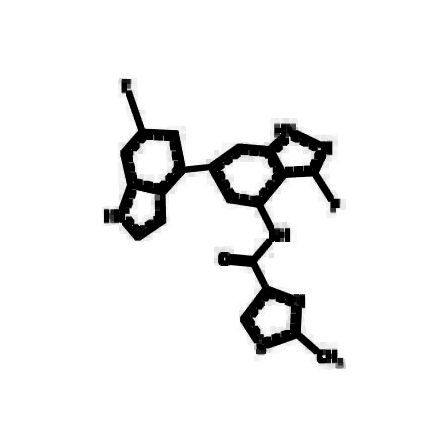 Cc1nc(C(=O)Nc2cc(-c3cc(F)cc4[nH]ccc34)cc3[nH]nc(F)c23)cs1